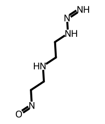 N=NNCCNCCN=O